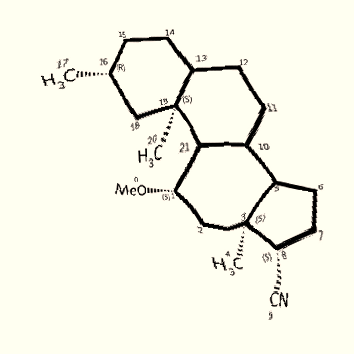 CO[C@H]1C[C@@]2(C)C(CC[C@@H]2C#N)C2CCC3CC[C@@H](C)C[C@]3(C)C21